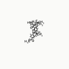 COC(=O)c1ccc2c(c1)CC(C)(C)C(c1cccc(C(=O)N(C(=O)OC(C)(C)C)C3CNC3)c1)N2